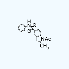 CC(=O)N1c2ccc(S(=O)(=O)Nc3ccccc3)cc2CC1C